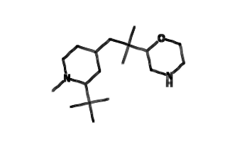 CN1CCC(CC(C)(C)C2CNCCO2)CC1C(C)(C)C